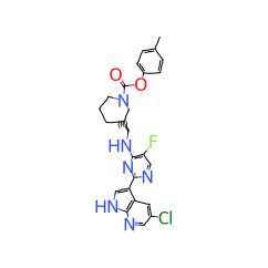 Cc1ccc(OC(=O)N2CCC[C@H](CNc3nc(-c4c[nH]c5ncc(Cl)cc45)ncc3F)C2)cc1